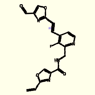 C=Cc1nc(C(=O)NCc2nccc(/C=C/c3nc(C=O)co3)c2F)co1